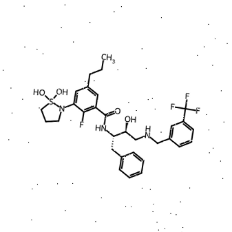 CCCc1cc(C(=O)N[C@@H](Cc2ccccc2)[C@@H](O)CNCc2cccc(C(F)(F)F)c2)c(F)c(N2CCCS2(O)O)c1